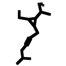 CCC1C(CC#CCC(C)C)C1C(C)N